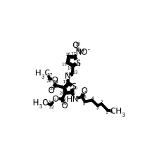 CCCCCCC(=O)Nc1sc(N=Cc2ccc([N+](=O)[O-])s2)c(C(=O)OCC)c1C(=O)OCC